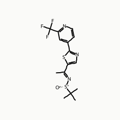 CC(=N[S@@+]([O-])C(C)(C)C)c1cnc(-c2ccnc(C(F)(F)F)c2)s1